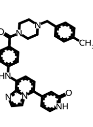 Cc1ccc(CN2CCN(C(=O)c3ccc(Nc4ccc(-c5cc[nH]c(=O)c5)n5ccnc45)cc3)CC2)cc1